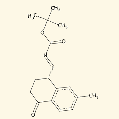 Cc1ccc2c(c1)[C@@H](/C=N/C(=O)OC(C)(C)C)CCC2=O